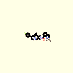 Cn1ccc2cccc(C(=O)N3CC(CN4CCC(c5ccc(F)cc5)CC4)C(C4CC4)C3)c21